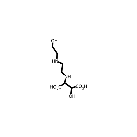 O=C(O)C(O)C(NCCNCCO)C(=O)O